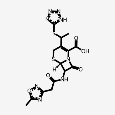 Cc1nc(CC(=O)NC2C(=O)N3C(C(=O)O)=C(C(C)Sc4nnn[nH]4)CS[C@@H]23)no1